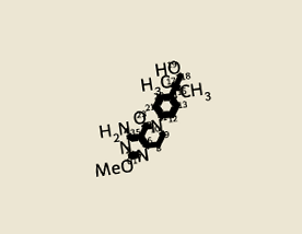 COc1nc(N)c2c(n1)CCN(c1ccc(C(C)(C)CO)cc1)C2=O